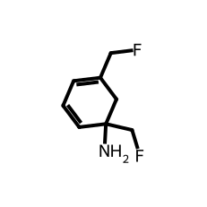 NC1(CF)C=CC=C(CF)C1